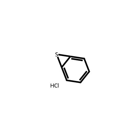 Cl.c1ccc2c(c1)S2